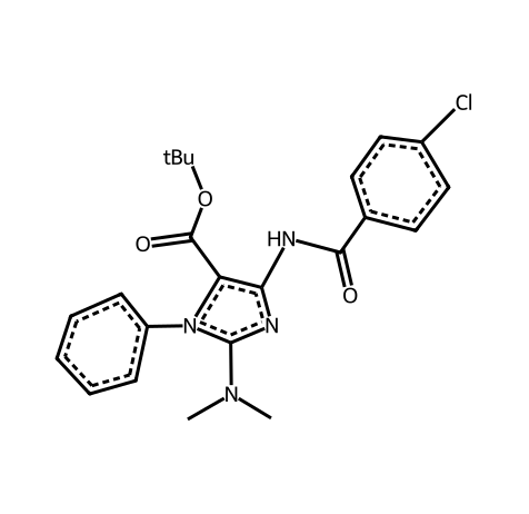 CN(C)c1nc(NC(=O)c2ccc(Cl)cc2)c(C(=O)OC(C)(C)C)n1-c1ccccc1